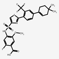 COc1cc(C(=O)O)c(F)cc1NS(=O)(=O)c1csc(-c2ccc(C3=CCC(C)(C)CC3)cc2C(F)(F)F)n1